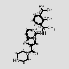 C[C@@H](Nc1nccc2nc(C(=O)N3CCNCC3)cn12)c1cccc(C(F)F)c1F